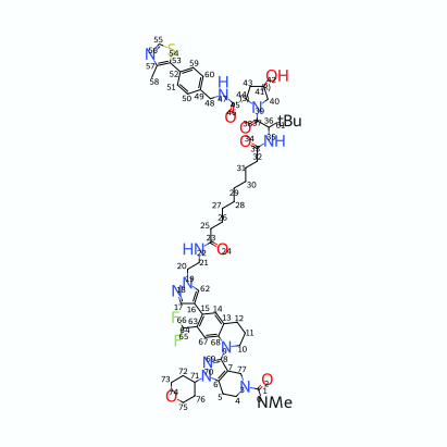 CNC(=O)N1CCc2c(c(N3CCCc4cc(-c5cnn(CCNC(=O)CCCCCCCCC(=O)NC(C(=O)N6C[C@H](O)C[C@H]6C(=O)NCc6ccc(-c7scnc7C)cc6)C(C)(C)C)c5)c(C(F)F)cc43)nn2C2CCOCC2)C1